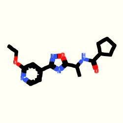 CCOc1cc(-c2noc(C(C)NC(=O)C3CCCC3)n2)ccn1